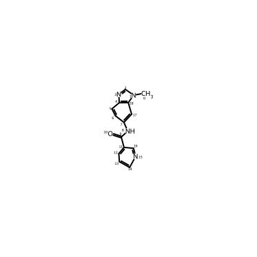 Cn1cnc2ccc(NC(=O)c3cccnc3)cc21